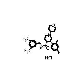 Cc1cc(F)ccc1[C@@H]1CN(C2CCOCC2)CC[C@H]1C(=O)N(C)Cc1cc(C(F)(F)F)cc(C(F)(F)F)c1.Cl